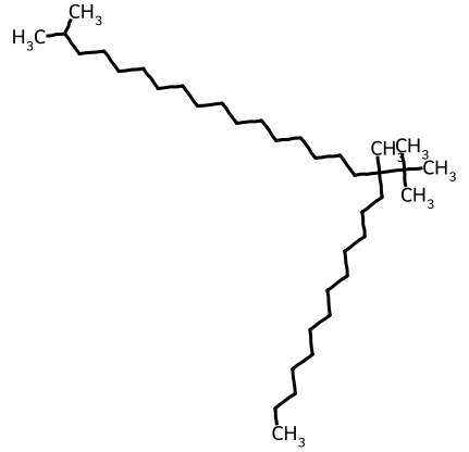 CCCCCCCCCCCCCC(C)(CCCCCCCCCCCCCCCC(C)C)C(C)(C)C